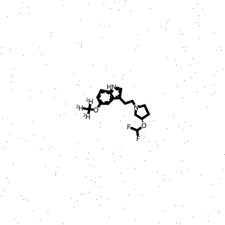 [2H]C([2H])([2H])Oc1ccc2[nH]cc(CCN3CC[C@H](OC(F)F)C3)c2c1